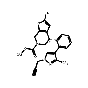 C#CCn1cc(-c2ccccc2[C@@H]2CN(C(=O)OC(C)(C)C)Cc3sc(C#N)cc32)c(C(F)(F)F)n1